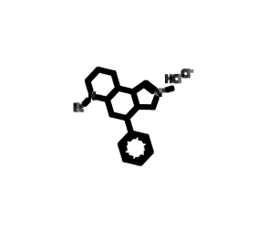 CCN1CCCC2C3C=[N+](C)CC3C(c3ccccc3)CC21.Cl.[Cl-]